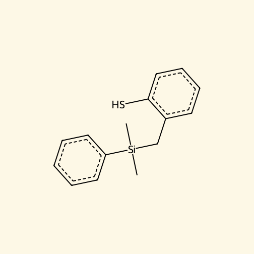 C[Si](C)(Cc1ccccc1S)c1ccccc1